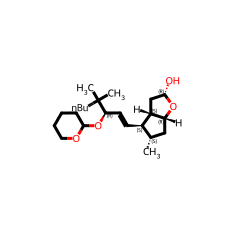 CCCCC(C)(C)[C@@H](C=C[C@H]1[C@@H]2C[C@H](O)O[C@@H]2C[C@@H]1C)OC1CCCCO1